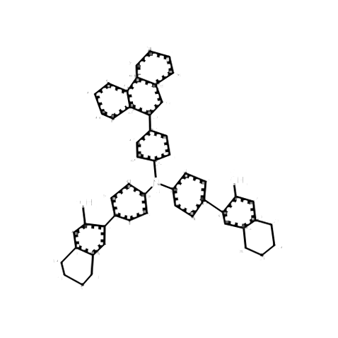 Cc1cc2c(cc1-c1ccc(N(c3ccc(-c4cc5c(cc4C)CCCC5)cc3)c3ccc(-c4cc5ccccc5c5ccccc45)cc3)cc1)CCCC2